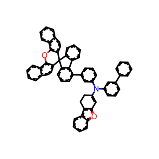 C1=C(N(c2cccc(-c3ccccc3)c2)c2cccc(-c3cccc4c3-c3ccccc3C43c4ccc5ccccc5c4Oc4c3ccc3ccccc43)c2)CCc2c1oc1ccccc21